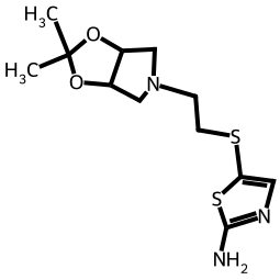 CC1(C)OC2CN(CCSc3cnc(N)s3)CC2O1